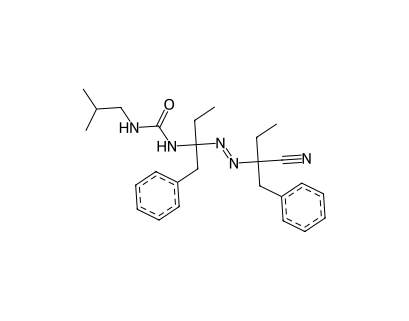 CCC(C#N)(Cc1ccccc1)N=NC(CC)(Cc1ccccc1)NC(=O)NCC(C)C